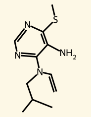 C=CN(CC(C)C)c1ncnc(SC)c1N